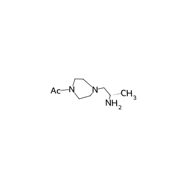 CC(=O)N1CCN(C[C@H](C)N)CC1